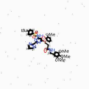 COc1ccccc1Oc1c(NS(=O)(=O)c2ccc(C(C)(C)C)cc2)nc(-c2ncccn2)nc1OCCC(=O)NCc1cc(OC)c(OC)c(OC)c1